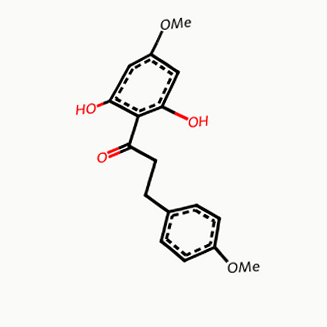 COc1ccc(CCC(=O)c2c(O)cc(OC)cc2O)cc1